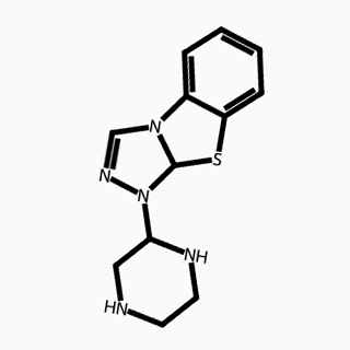 C1=NN(C2CNCCN2)C2Sc3ccccc3N12